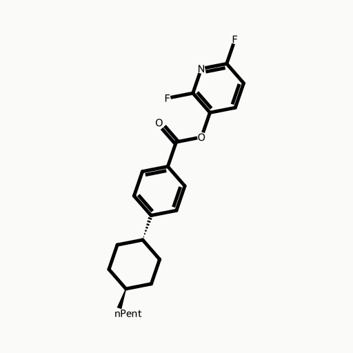 CCCCC[C@H]1CC[C@H](c2ccc(C(=O)Oc3ccc(F)nc3F)cc2)CC1